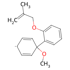 C=C(C)COc1ccccc1C1(OC)C=C[CH]C=C1